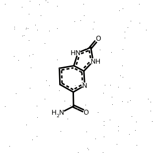 NC(=O)c1ccc2[nH]c(=O)[nH]c2n1